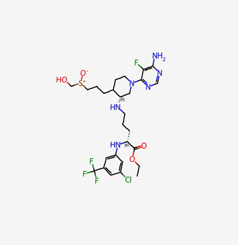 CCOC(=O)[C@@H](CCCN[C@H]1CN(c2ncnc(N)c2F)CCC1CCC[S+]([O-])CO)Nc1cc(Cl)cc(C(F)(F)F)c1